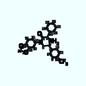 NC(C(=O)N(CCc1ccc(C(F)(F)F)cc1)c1ccc2c(c1)OCO2)c1ccccc1